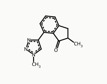 CC1Cc2cccc(-c3cn(C)nn3)c2C1=O